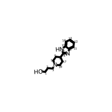 OCCCN1CCC(c2nc3ccccc3[nH]2)CC1